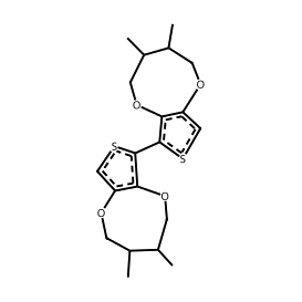 CC1COc2csc(-c3scc4c3OCC(C)C(C)CO4)c2OCC1C